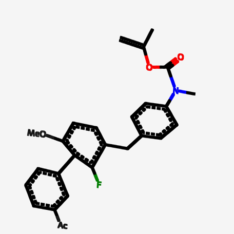 C=C(C)OC(=O)N(C)c1ccc(Cc2ccc(OC)c(-c3cccc(C(C)=O)c3)c2F)cc1